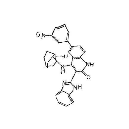 O=c1[nH]c2ccc(-c3cccc([N+](=O)[O-])c3)cc2c(N[C@H]2CN3CCC2CC3)c1-c1nc2ccccc2[nH]1